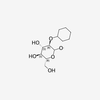 [O]C1O[C@H](CO)[C@@H](O)[C@H](O)[C@H]1OC1CCCCC1